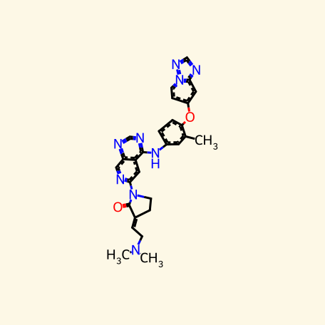 Cc1cc(Nc2ncnc3cnc(N4CC/C(=C\CN(C)C)C4=O)cc23)ccc1Oc1ccn2ncnc2c1